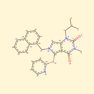 CC(C)Cn1c(=O)n(C)c(=O)c2c(Sc3ccccn3)n(Cc3cccc4ccccc34)cc21